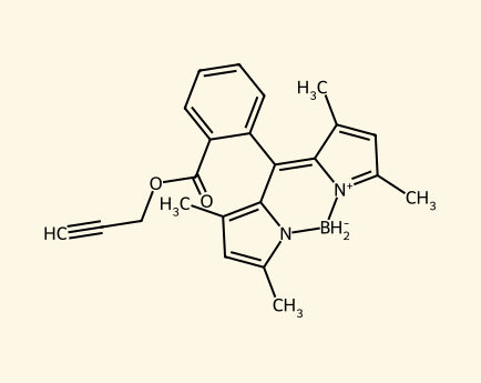 C#CCOC(=O)c1ccccc1C1=C2C(C)=CC(C)=[N+]2[BH2-]n2c(C)cc(C)c21